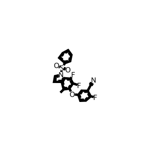 Cc1c(Oc2ccc(F)c(C#N)c2)c(F)c(F)c2c1ccn2S(=O)(=O)c1ccccc1